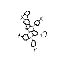 CC(C)(C)c1ccc(N2c3ccc(C(C)(C)C)cc3N3c4sc5cc6c(cc5c4N(c4ccc(C(C)(C)C)cc4)c4cc(C5CCCCC5)cc2c43)-c2ccccc2C6(C)C)cc1